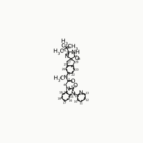 CN(C(=O)Cn1c(=O)n(-c2ccccn2)c2ccccc21)c1ccc2c(c1)CC1(C2)N=C(C(C)(C)C)NC1=O